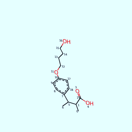 CC(C(=O)O)C(C)c1ccc(OCCCCO)cc1